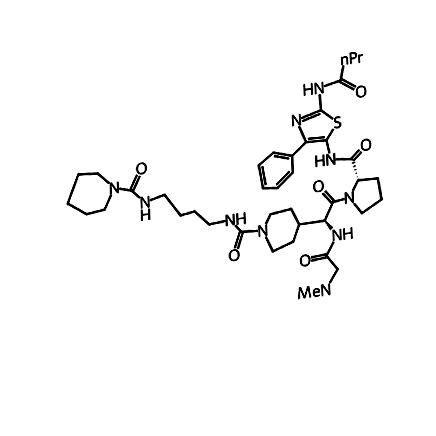 CCCC(=O)Nc1nc(-c2ccccc2)c(NC(=O)[C@@H]2CCCN2C(=O)[C@@H](NC(=O)CNC)C2CCN(C(=O)NCCCCNC(=O)N3CCCCC3)CC2)s1